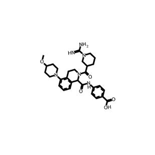 COC1CCN(c2cccc3c2CCN(C(=O)C2CCCN(C(=N)N)C2)C3C(=O)Nc2ccc(C(=O)O)cc2)CC1